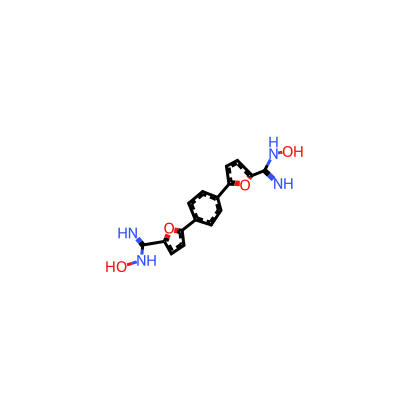 N=C(NO)c1ccc(-c2ccc(-c3ccc(C(=N)NO)o3)cc2)o1